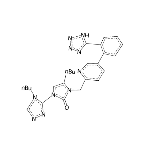 CCCCc1cn(-c2nncn2CCCC)c(=O)n1Cc1ccc(-c2ccccc2-c2nnn[nH]2)cn1